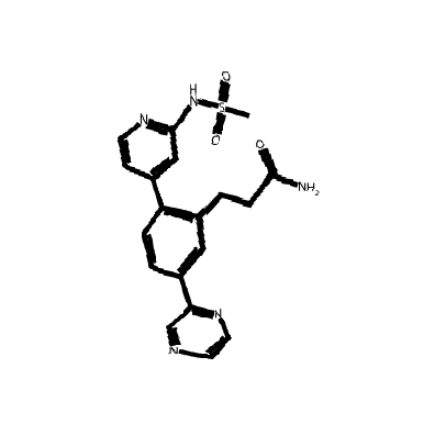 CS(=O)(=O)Nc1cc(-c2ccc(-c3cnccn3)cc2CCC(N)=O)ccn1